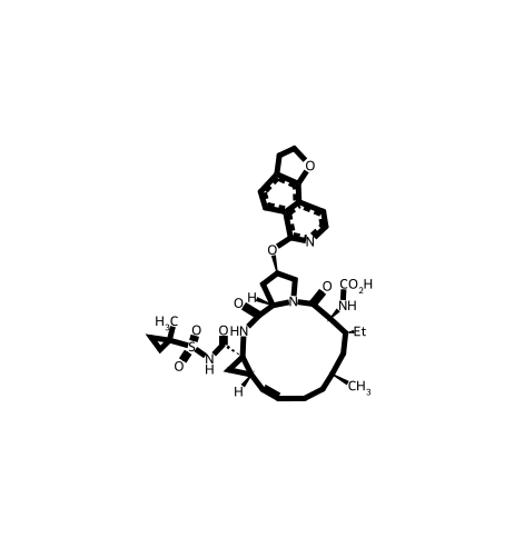 CC[C@@H]1C[C@@H](C)CCC=C[C@@H]2C[C@@]2(C(=O)NS(=O)(=O)C2(C)CC2)NC(=O)[C@@H]2C[C@@H](Oc3nccc4c5c(ccc34)CCO5)CN2C(=O)[C@H]1NC(=O)O